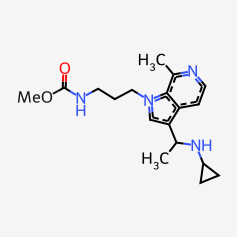 COC(=O)NCCCn1cc(C(C)NC2CC2)c2ccnc(C)c21